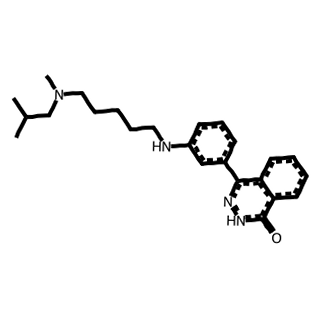 CC(C)CN(C)CCCCCNc1cccc(-c2n[nH]c(=O)c3ccccc23)c1